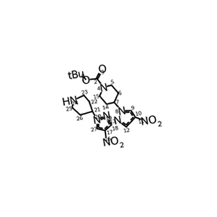 CC(C)(C)OC(=O)N1CCC(n2cc([N+](=O)[O-])cn2)CC1.O=[N+]([O-])c1cnn(C2CCNCC2)c1